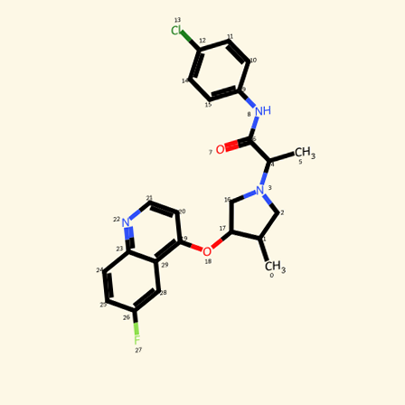 CC1CN(C(C)C(=O)Nc2ccc(Cl)cc2)CC1Oc1ccnc2ccc(F)cc12